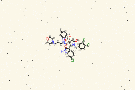 Cc1ccc(S(=O)(=O)[C@@]2(C(=O)NCCCN3CCOCC3)CC(=O)N(Cc3ccc(Cl)c(F)c3)[C@H]2c2c[nH]c3cc(Cl)ccc23)cc1